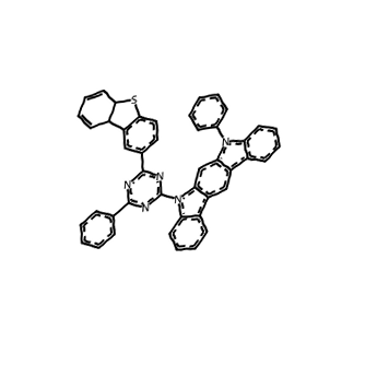 C1=CC2Sc3ccc(-c4nc(-c5ccccc5)nc(-n5c6ccccc6c6cc7c8ccccc8n(-c8ccccc8)c7cc65)n4)cc3C2C=C1